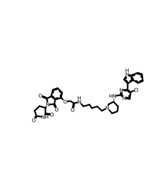 O=C(COc1cccc2c1C(=O)N(C1CCC(=O)NC1=O)C2=O)NCCCCCN1CCC[C@@H](Nc2ncc(Cl)c(-c3c[nH]c4ccccc34)n2)C1